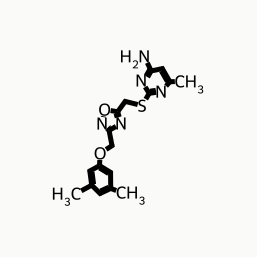 Cc1cc(C)cc(OCc2noc(CSc3nc(C)cc(N)n3)n2)c1